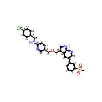 CS(=O)(=O)c1cccc(-c2cnc3[nH]cc(COCc4ccc(NCc5ccc(Cl)cc5)nc4)c3c2)c1